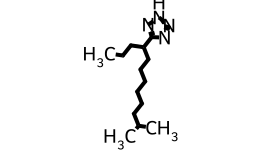 CCCC(CCCCCCC(C)C)c1nn[nH]n1